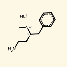 CN[C@H](CCN)Cc1ccccc1.Cl